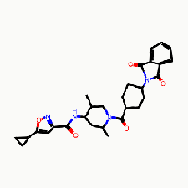 CC1CN(C(=O)C2CCC(N3C(=O)c4ccccc4C3=O)CC2)C(C)CC1NC(=O)c1cc(C2CC2)on1